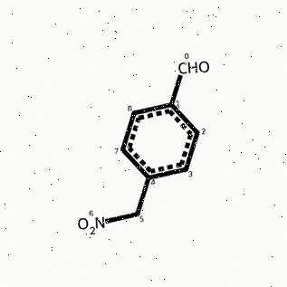 O=Cc1ccc(C[N+](=O)[O-])cc1